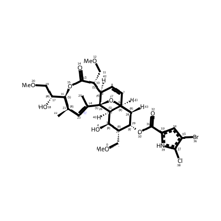 COC[C@@H]1[C@@H](O)[C@@H]2[C@H]3C=C[C@@H]4[C@@H](COC)C(=O)O[C@H]([C@H](O)COC)[C@H](C)/C=C(\C)[C@@]24O[C@H]3[C@@H]1OC(=O)c1cc(Br)c(Cl)[nH]1